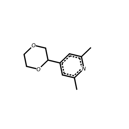 Cc1cc(C2COCCO2)cc(C)n1